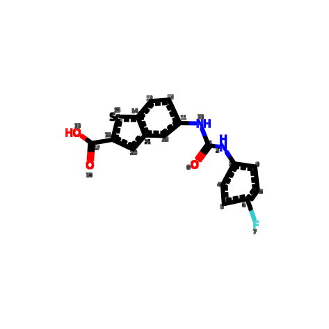 O=C(Nc1ccc(F)cc1)Nc1ccc2[se]c(C(=O)O)cc2c1